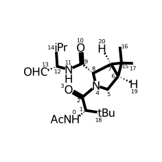 CC(=O)N[C@H](C(=O)N1C[C@H]2[C@@H]([C@H]1C(=O)N[C@H](C=O)C(C)C)C2(C)C)C(C)(C)C